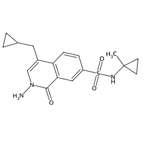 CC1(NS(=O)(=O)c2ccc3c(CC4CC4)cn(N)c(=O)c3c2)CC1